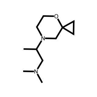 CC(CN(C)C)N1CCOC2(CC2)C1